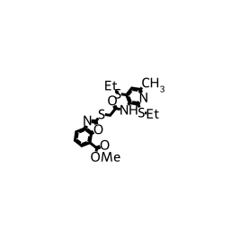 CCSc1cc(C)nc(SCC)c1NC(=O)CSc1nc2cccc(C(=O)OC)c2o1